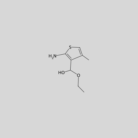 CCOC(O)c1c(C)csc1N